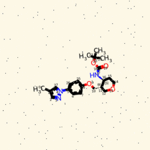 Cc1cnn(-c2ccc(OC[C@H]3COCC[C@@H]3NC(=O)OC(C)(C)C)cc2)c1